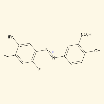 CC(C)c1cc(/N=N/c2ccc(O)c(C(=O)O)c2)c(F)cc1F